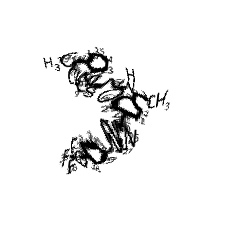 CCC(NC(=O)/N=C1\SCCN1c1ccccc1C(C)C)c1ccc(-c2ncn(-c3ccc(OC(F)(F)F)cc3)n2)cc1